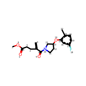 C=C(CCC(=O)OC)C(=O)N1CCC(Oc2cc(F)ccc2C)C1